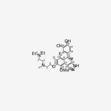 CCN(CC)CCN(C)CCOc1c(C)c(F)c2c(-c3ccc(O)c(Cl)c3)nc3[nH]ncc3c2c1OC